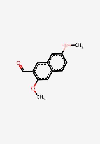 CBc1ccc2cc(OC)c(C=O)cc2c1